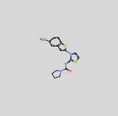 Cc1ccc2sc(-n3ccs/c3=N\C(=O)N3CCCC3)cc2c1